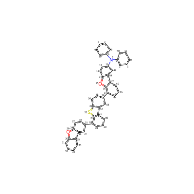 c1ccc(N(c2ccccc2)c2ccc3oc4c(-c5ccc6sc7c(-c8ccc9oc%10ccccc%10c9c8)cccc7c6c5)cccc4c3c2)cc1